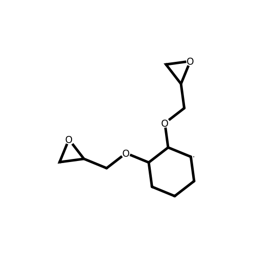 [CH]1CCCC(OCC2CO2)C1OCC1CO1